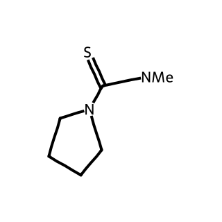 CNC(=S)N1CCCC1